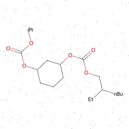 CCCCC(CC)COC(=O)OC1CCCC(OC(=O)OC(C)C)C1